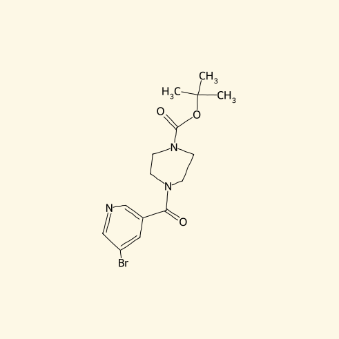 CC(C)(C)OC(=O)N1CCN(C(=O)c2cncc(Br)c2)CC1